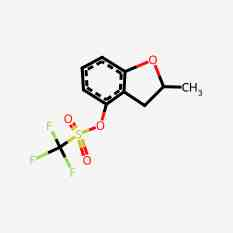 CC1Cc2c(cccc2OS(=O)(=O)C(F)(F)F)O1